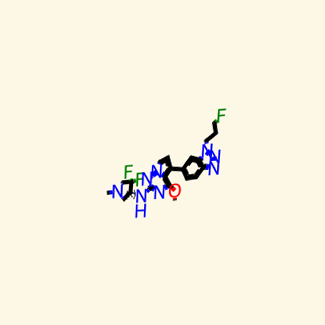 COc1nc(N[C@@H]2CN(C)CC2(F)F)nn2ccc(-c3ccc4nnn(CCCF)c4c3)c12